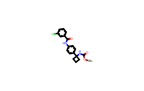 CC(C)(C)OC(=O)NC1(c2ccc(NC(=O)c3cccc(Cl)c3)cc2)CCC1